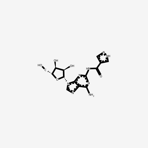 Nc1nc(NC(=O)c2cn[nH]c2)nc2c1ncn2[C@@H]1O[C@H](CO)[C@@H](O)[C@H]1O